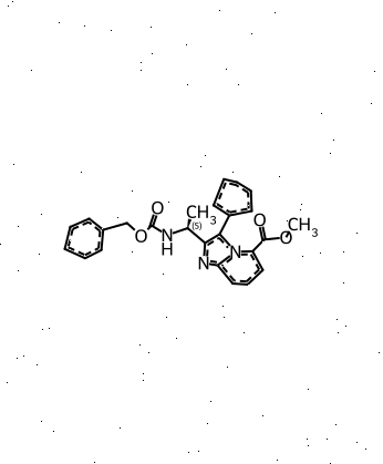 COC(=O)c1cccc2nc([C@H](C)NC(=O)OCc3ccccc3)c(-c3ccccc3)n12